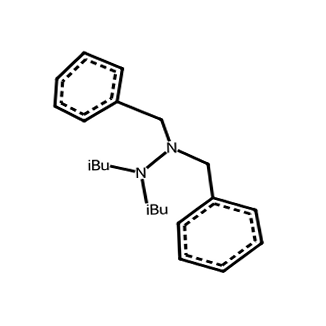 CCC(C)N(C(C)CC)N(Cc1ccccc1)Cc1ccccc1